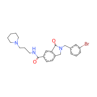 O=C(NCCCN1CCCCC1)c1ccc2c(c1)C(=O)N(Cc1cccc(Br)c1)C2